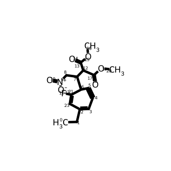 CCC1=CC#CC(C(C[N+](=O)[O-])C(C(=O)OC)C(=O)OC)C(F)=C1